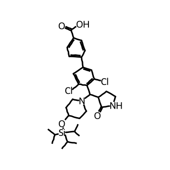 CC(C)[Si](OC1CCN(C(c2c(Cl)cc(-c3ccc(C(=O)O)cc3)cc2Cl)C2CCNC2=O)CC1)(C(C)C)C(C)C